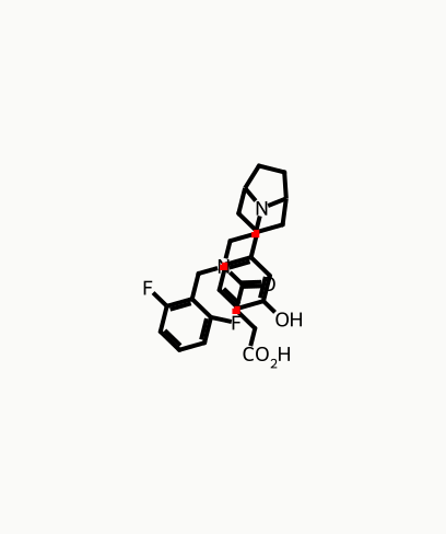 O=C(O)CCC(=O)N(CCN1C2CCC1CC(c1cccc(O)c1)C2)Cc1c(F)cccc1F